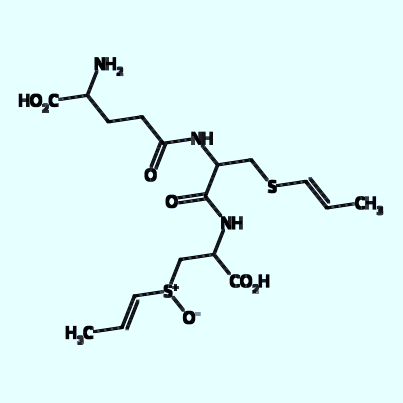 CC=CSCC(NC(=O)CCC(N)C(=O)O)C(=O)NC(C[S+]([O-])C=CC)C(=O)O